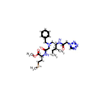 CC[C@H](C)[C@@H](CN(CC(=O)N[C@@H](CCSC)C(=O)OC)Cc1ccccc1)NC(=O)Cn1cnnn1